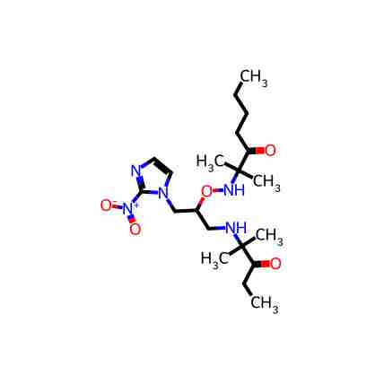 CCCCC(=O)C(C)(C)NOC(CNC(C)(C)C(=O)CC)Cn1ccnc1[N+](=O)[O-]